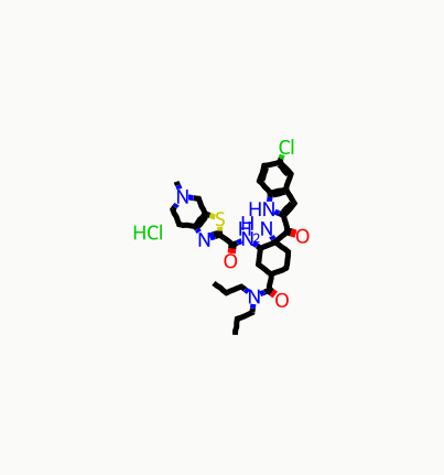 CCCN(CCC)C(=O)C1CCC(N)(C(=O)c2cc3cc(Cl)ccc3[nH]2)C(NC(=O)c2nc3c(s2)CN(C)CC3)C1.Cl